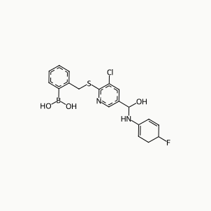 OB(O)c1ccccc1CSc1ncc(C(O)NC2=CCC(F)C=C2)cc1Cl